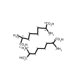 NC(CCCCC(N)C(=O)O)C(=O)O.NC(CCCCC(N)C(=O)O)C(=O)O